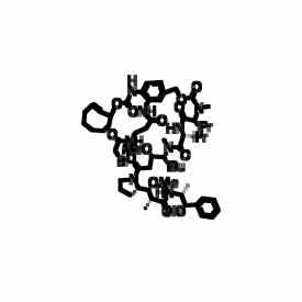 CC[C@H](C)[C@@H]([C@@H](CC(=O)N1CCC[C@H]1[C@H](OC)[C@@H](C)C(=O)N[C@H](C)[C@@H](O)c1ccccc1)OC)N(C)C(=O)[C@H](NC(=O)[C@H](C(C)C)N(C)C(=O)OCc1ccc(NC(=O)OC2/C=C/CCCCC2)c(NC(=O)CCNC(=O)CBr)c1)C(C)C